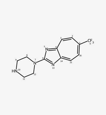 FC(F)(F)c1ccc2nc(N3CCNCC3)nc-2cc1